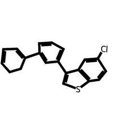 Clc1ccc2scc(-c3cccc(C4=CC=CCC4)c3)c2c1